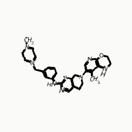 Cc1c(N2CCc3cnc(Nc4cccc(CN5CCN(C)CC5)c4)nc3C2)cnc2c1NCCO2